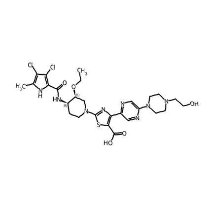 CCO[C@H]1CN(c2nc(-c3cnc(N4CCN(CCO)CC4)cn3)c(C(=O)O)s2)CC[C@H]1NC(=O)c1[nH]c(C)c(Cl)c1Cl